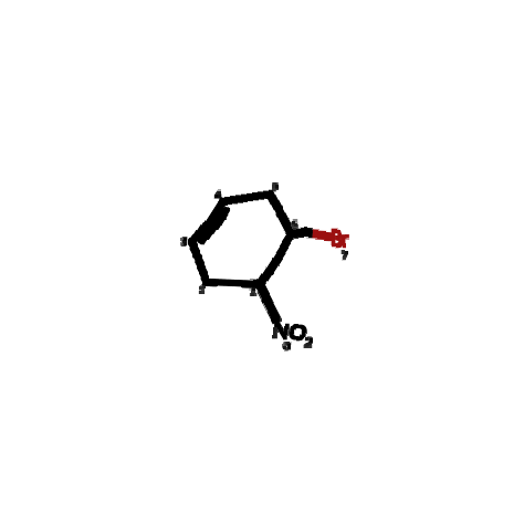 O=[N+]([O-])C1CC=CCC1Br